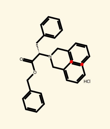 Cl.O=C(OCc1ccccc1)[C@H](Cc1ccccc1)N(Cc1ccccc1)Cc1ccccc1